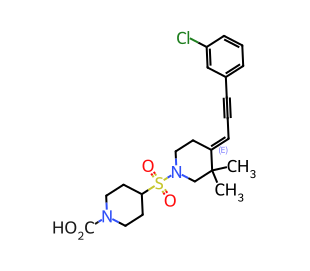 CC1(C)CN(S(=O)(=O)C2CCN(C(=O)O)CC2)CC/C1=C\C#Cc1cccc(Cl)c1